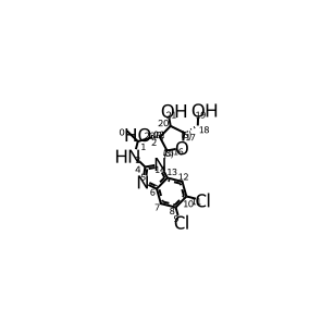 CC(C)Nc1nc2cc(Cl)c(Cl)cc2n1[C@H]1O[C@@H](CO)C(O)[C@H]1O